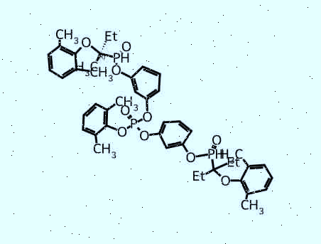 CCC(CC)(Oc1c(C)cccc1C)[PH](=O)Oc1cccc(OP(=O)(Oc2cccc(O[PH](=O)[C@](C)(CC)Oc3c(C)cccc3C)c2)Oc2c(C)cccc2C)c1